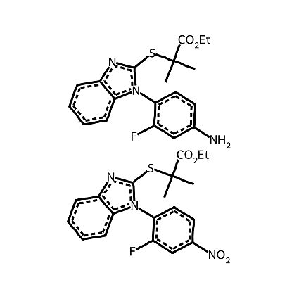 CCOC(=O)C(C)(C)Sc1nc2ccccc2n1-c1ccc(N)cc1F.CCOC(=O)C(C)(C)Sc1nc2ccccc2n1-c1ccc([N+](=O)[O-])cc1F